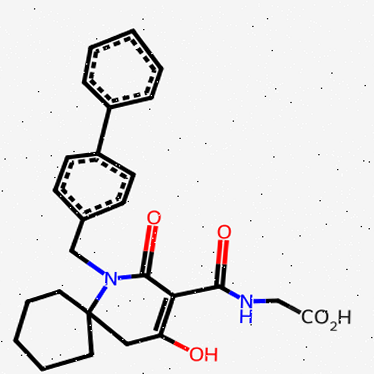 O=C(O)CNC(=O)C1=C(O)CC2(CCCCC2)N(Cc2ccc(-c3ccccc3)cc2)C1=O